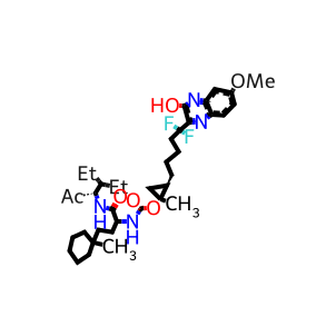 CCC(CC)[C@H](NC(=O)C(CCC1(C)CCCCC1)NC(=O)OC1(C)C[C@H]1CCCCC(F)(F)c1nc2ccc(OC)cc2nc1O)C(C)=O